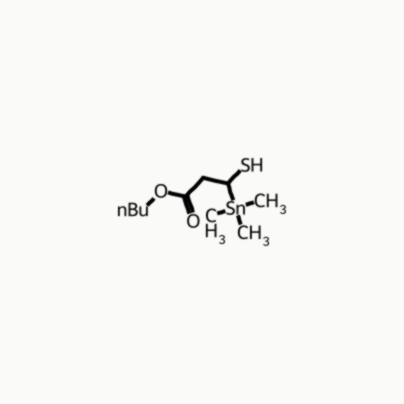 CCCCOC(=O)C[CH](S)[Sn]([CH3])([CH3])[CH3]